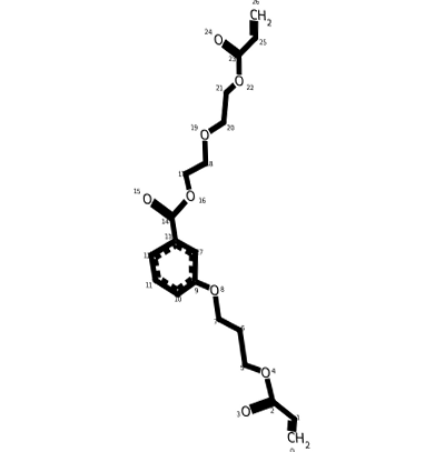 C=CC(=O)OCCCOc1cccc(C(=O)OCCOCCOC(=O)C=C)c1